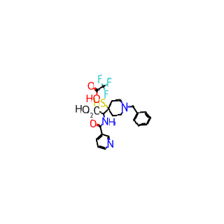 O=C(NC(C(=O)O)C1(S)CCN(Cc2ccccc2)CC1)c1cccnc1.O=C(O)C(F)(F)F